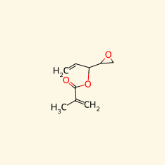 C=CC(OC(=O)C(=C)C)C1CO1